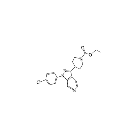 CCOC(=O)N1CCC(c2nn(-c3ccc(Cl)cc3)c3cnccc23)CC1